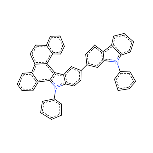 c1ccc(-n2c3ccccc3c3ccc(-c4ccc5c(c4)c4c6c7ccccc7ccc6c6ccccc6c4n5-c4ccccc4)cc32)cc1